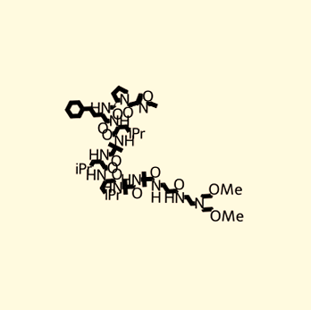 COCCN(CCNC(=O)CCNC(=O)C(C)(C)NC(=O)C(C)(C)NC(=O)C(CC(C)C)NC(=O)C(CC(C)C)NC(=O)C(C)(C)NC(=O)C(CC(C)C)NC(=O)C(CCC1CCCCC1)NC(=O)[C@@H]1CCCN1C(=O)c1coc(C)n1)CCOC